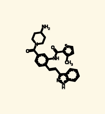 Cc1ccsc1C(=O)Nc1cc(C(=O)N2CCC(N)CC2)ccc1C=Cc1n[nH]c2ccccc12